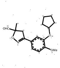 COc1ccc(C2=NOC(C)([C]=O)C2)cc1OC1CCCC1